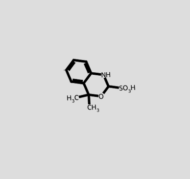 CC1(C)OC(S(=O)(=O)O)Nc2cc[c]cc21